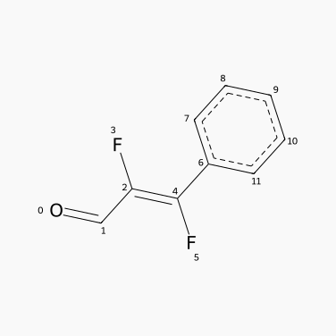 O=CC(F)=C(F)c1ccccc1